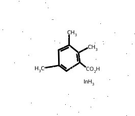 Cc1cc(C)c(C)c(C(=O)O)c1.[InH3]